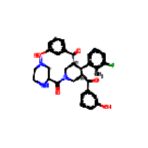 Cc1c(F)cccc1C1[C@@H](C(=O)c2cccc(O)c2)CN(C(=O)C2CNCCN2)C[C@@H]1C(=O)c1cccc(O)c1